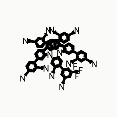 N#Cc1cc(-c2cc(-n3c4cc(-c5ccc(C#N)cc5C#N)ccc4c4ccc(-c5ccc(C#N)cc5C#N)cc43)c(-n3c4cc(-c5ccc(C#N)cc5C#N)ccc4c4ccc(-c5ccc(C#N)cc5C#N)cc43)cc2C#N)cc(C(F)(F)F)c1